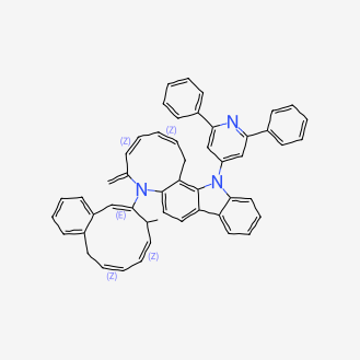 C=C1/C=C\C=C/Cc2c(ccc3c4ccccc4n(-c4cc(-c5ccccc5)nc(-c5ccccc5)c4)c23)N1/C1=C/c2ccccc2C/C=C\C=C/C1C